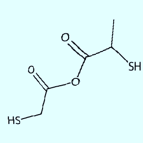 CC(S)C(=O)OC(=O)CS